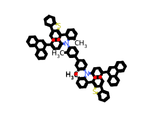 Cc1cc(-c2ccc(N(c3ccc(-c4cc5ccccc5c5ccccc45)cc3)c3c(C)cccc3-c3cccc4c3sc3ccccc34)c(C)c2)ccc1N(c1ccc(-c2cc3ccccc3c3ccccc23)cc1)c1c(C)cccc1-c1cccc2c1sc1ccccc12